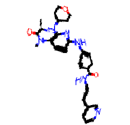 C[C@@H]1C(=O)N(C)c2ccc(Nc3ccc(C(=O)NCCc4cccnc4)cc3)nc2N1C1CCOCC1